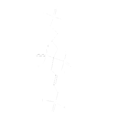 O=P(O)(O)C/C=C/CC(CCCCP(=O)(O)O)(P(=O)(O)O)P(=O)(O)O